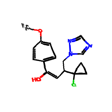 O/C(=C/C(Cn1cncn1)C1(Cl)CC1)c1ccc(OC(F)(F)F)cc1